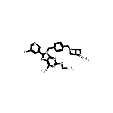 CCOc1nc(N)c2nc(-c3cncc(F)c3)n(Cc3ccc(CN4CC5C4CN5C)cc3)c2n1